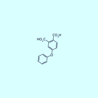 O=C(O)c1ccc(Oc2cc[c]cc2)cc1C(=O)O